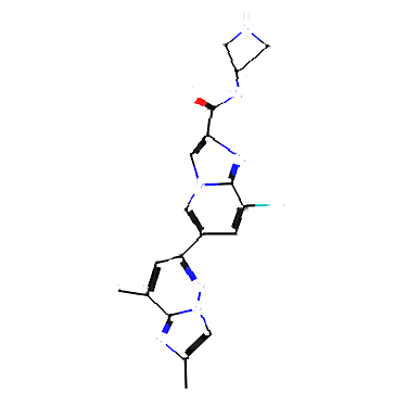 Cc1cn2nc(-c3cc(F)c4nc(C(=O)NC5CNC5)cn4c3)cc(C)c2n1